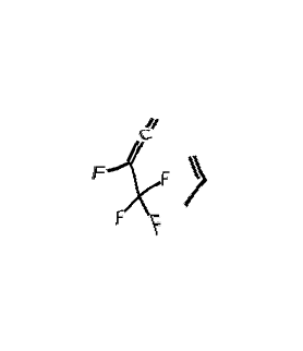 C=C=C(F)C(F)(F)F.C=CC